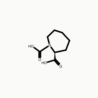 O=C(O)[C@@H]1CCCCCN1C(=O)O